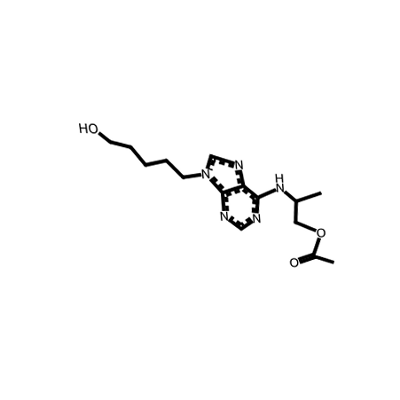 CC(=O)OCC(C)Nc1ncnc2c1ncn2CCCCCO